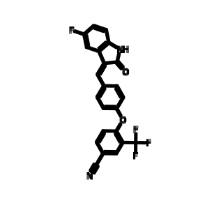 N#Cc1ccc(Oc2ccc(C=C3C(=O)Nc4ccc(F)cc43)cc2)c(C(F)(F)F)c1